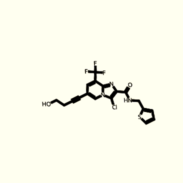 O=C(NCc1cccs1)c1nc2c(C(F)(F)F)cc(C#CCCO)cn2c1Cl